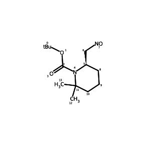 CC(C)(C)OC(=O)N1[C@@H](CN=O)CCCC1(C)C